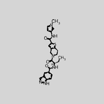 CC[C@@H](NC(=O)c1ccc2[nH]ncc2c1)C(=O)N1CCc2sc(C(=O)Nc3ccn(C)c3)cc2C1